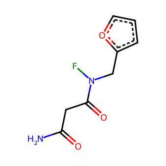 NC(=O)CC(=O)N(F)Cc1ccco1